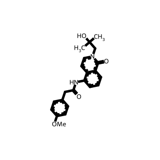 COc1ccc(CC(=O)Nc2cccc3c(=O)n(CC(C)(C)O)ccc23)cc1